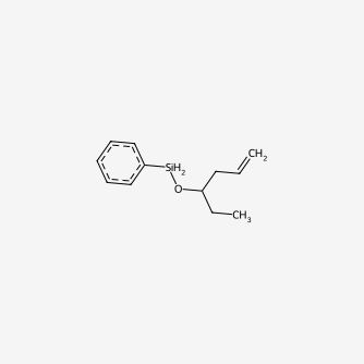 C=CCC(CC)O[SiH2]c1ccccc1